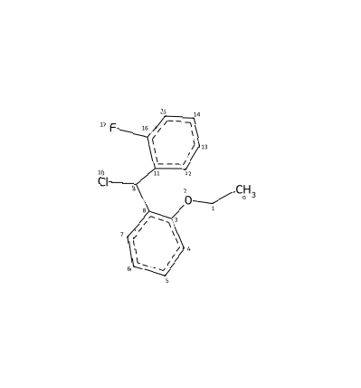 CCOc1ccccc1C(Cl)c1ccccc1F